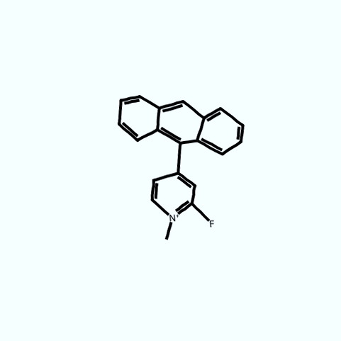 C[n+]1ccc(-c2c3ccccc3cc3ccccc23)cc1F